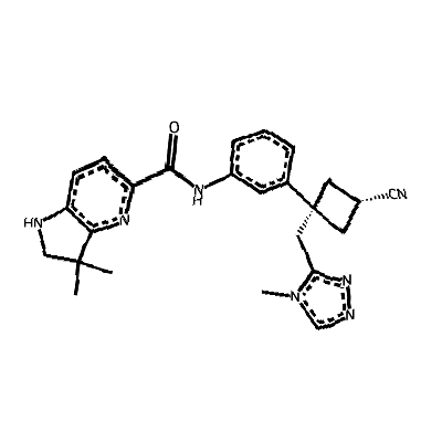 Cn1cnnc1C[C@]1(c2cccc(NC(=O)c3ccc4c(n3)C(C)(C)CN4)c2)C[C@H](C#N)C1